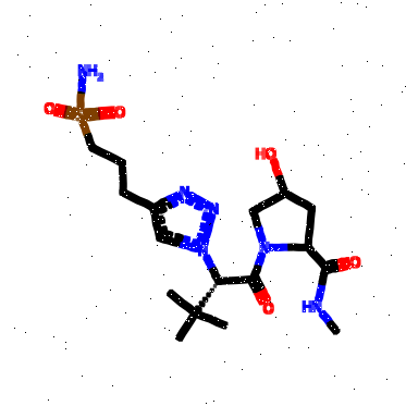 CNC(=O)C1CC(O)CN1C(=O)[C@@H](n1cc(CCCS(N)(=O)=O)nn1)C(C)(C)C